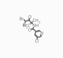 CC(C)(NC(=O)c1cncc(Cl)c1)C(=O)C(Br)Br